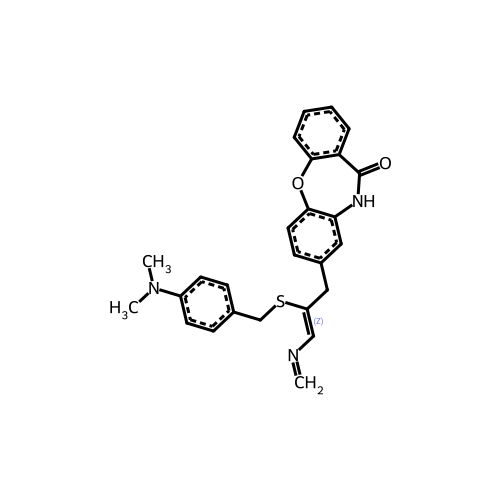 C=N/C=C(/Cc1ccc2c(c1)NC(=O)c1ccccc1O2)SCc1ccc(N(C)C)cc1